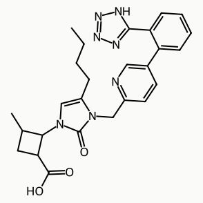 CCCCc1cn(C2C(C)CC2C(=O)O)c(=O)n1Cc1ccc(-c2ccccc2-c2nnn[nH]2)cn1